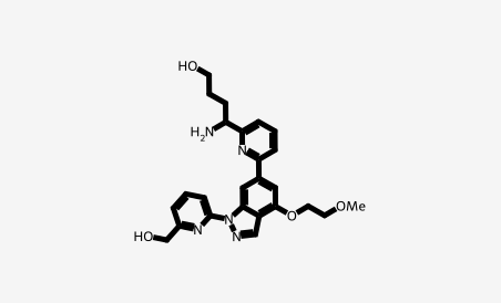 COCCOc1cc(-c2cccc(C(N)CCCO)n2)cc2c1cnn2-c1cccc(CO)n1